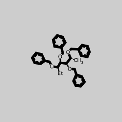 CC[C@@H](OCc1ccccc1)[C@@H](OCc1ccccc1)[C@H](OCc1ccccc1)[C@@H](C)OCc1ccccc1